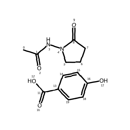 CC(=O)NN1CCCC1=O.O=C(O)c1ccc(O)cc1